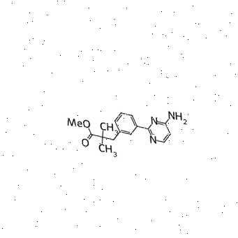 COC(=O)C(C)(C)Cc1cccc(-c2nccc(N)n2)c1